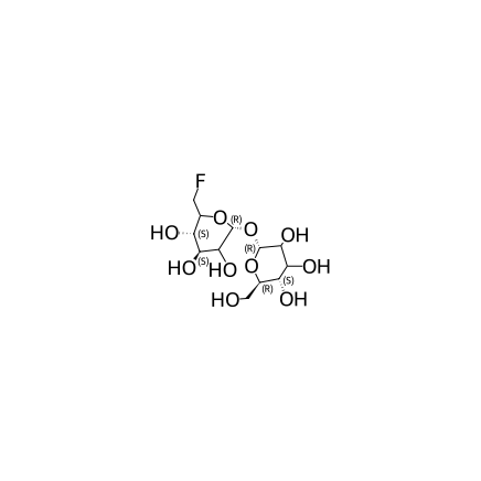 OC[C@H]1O[C@H](O[C@H]2OC(CF)[C@@H](O)[C@H](O)C2O)C(O)C(O)[C@@H]1O